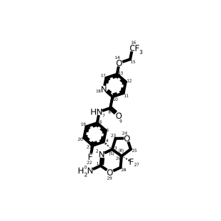 NC1=N[C@@]2(c3cc(NC(=O)c4ccc(OCC(F)(F)F)cn4)ccc3F)COC[C@@]2(F)CO1